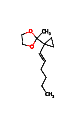 CCCCC=CC1(C2(C)OCCO2)CC1